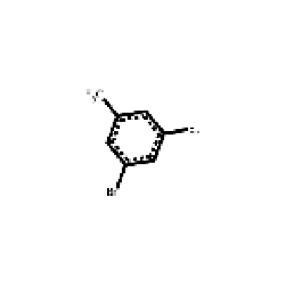 CCc1cc(Br)cc(C(F)(F)F)c1